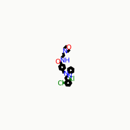 O=C(NCCCN1CCOCC1)c1ccc(Cn2c(Cc3c(Cl)cccc3Cl)nc3ccccc32)cc1